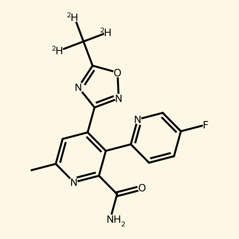 [2H]C([2H])([2H])c1nc(-c2cc(C)nc(C(N)=O)c2-c2ccc(F)cn2)no1